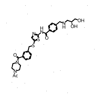 CC(=O)N1CCN(C(=O)c2cccc(CSc3cnc(NC(=O)c4ccc(CNC[C@H](O)CO)cc4)s3)c2)CC1